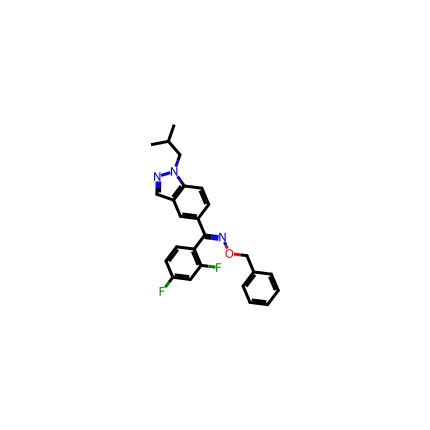 CC(C)Cn1ncc2cc(/C(=N/OCc3ccccc3)c3ccc(F)cc3F)ccc21